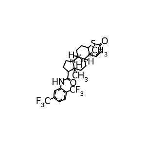 C[C@]12C=CC(=O)SC1CC[C@@H]1[C@H]2CC[C@]2(C)C(C(=O)Nc3cc(C(F)(F)F)ccc3C(F)(F)F)CC[C@@H]12